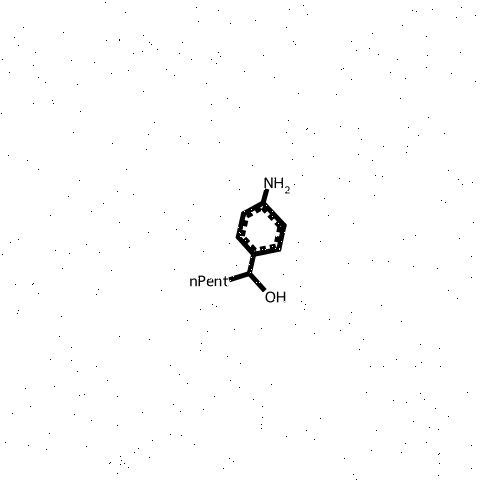 CCCCCC(O)c1ccc(N)cc1